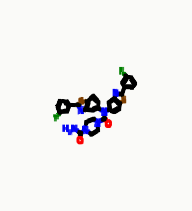 NC(=O)N1CCN(C(=O)N(c2ccc3sc(-c4cccc(F)c4)nc3c2)c2ccc3sc(-c4cccc(F)c4)nc3c2)CC1